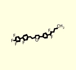 C=CCC/C(F)=C(\F)c1ccc(C2CCC(CCc3ccc(-c4cc(F)c(F)c(F)c4)c(F)c3)OC2)cc1